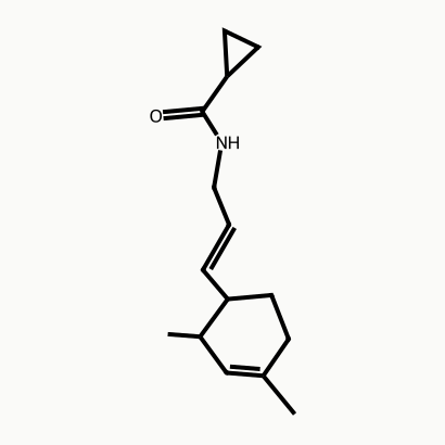 CC1=CC(C)C(/C=C/CNC(=O)C2CC2)CC1